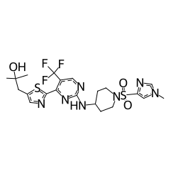 Cn1cnc(S(=O)(=O)N2CCC(Nc3ncc(C(F)(F)F)c(-c4ncc(CC(C)(C)O)s4)n3)CC2)c1